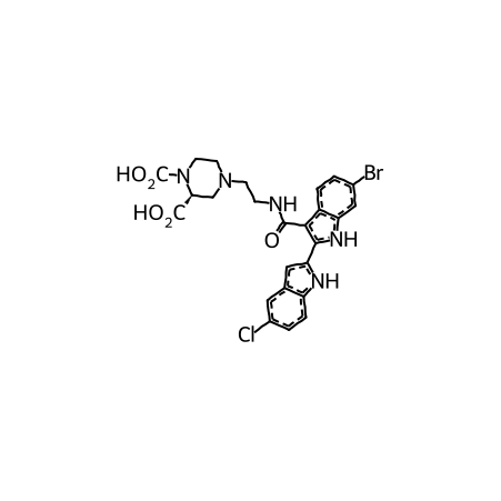 O=C(NCCN1CCN(C(=O)O)[C@H](C(=O)O)C1)c1c(-c2cc3cc(Cl)ccc3[nH]2)[nH]c2cc(Br)ccc12